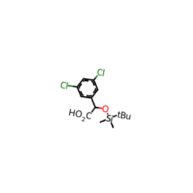 CC(C)(C)[Si](C)(C)OC(C(=O)O)c1cc(Cl)cc(Cl)c1